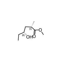 CC[C@@H](O)C[C@H](C)C(=O)OC